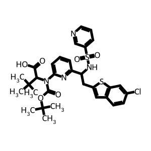 CC(C)(C)OC(=O)N(c1cccc(C(Cc2cc3ccc(Cl)cc3s2)NS(=O)(=O)c2cccnc2)n1)C(C(=O)O)C(C)(C)C